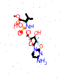 COC(=O)[C@@H](NP(=O)(O)OC[C@H]1O[C@@H](n2ccc(N)nc2=O)[C@](C)(F)[C@@H]1O)C(C)C